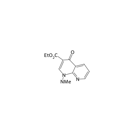 CCOC(=O)c1cn(NC)c2ncccc2c1=O